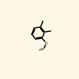 CC[CH]Oc1cccc(C)c1C